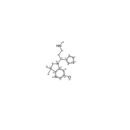 CNCCC(c1ccsc1)N1CC(C)(C)c2ncc(Cl)cc21